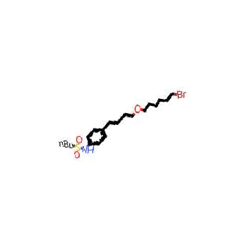 CCCCS(=O)(=O)Nc1ccc(CCCCOCCCCCCBr)cc1